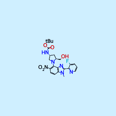 Cn1c(-c2ncccc2F)nc2c(N3C[C@H](NC(=O)OC(C)(C)C)C[C@H]3CO)c([N+](=O)[O-])ccc21